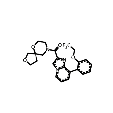 O=C(c1cn2cccc(-c3ccccc3OCC(F)(F)F)c2n1)N1CCO[C@]2(CCOC2)C1